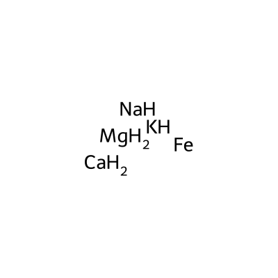 [CaH2].[Fe].[KH].[MgH2].[NaH]